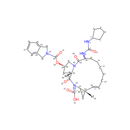 O=C(NC1CCCC1)N[C@H]1CCCCC/C=C/[C@@H]2C[C@@]2(C(=O)O)NC(=O)[C@@H]2C[C@@H](OC(=O)N3Cc4ccccc4C3)CN2C1=O